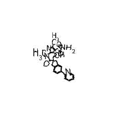 Cc1nc(N(C)C(=O)C2(CO)Cc3ccc(-c4ccccn4)cc3C2)sc1S(N)(=O)=O